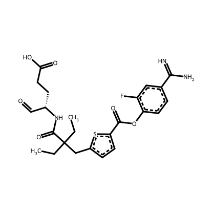 CCC(CC)(Cc1ccc(C(=O)Oc2ccc(C(=N)N)cc2F)s1)C(=O)N[C@H](C=O)CCC(=O)O